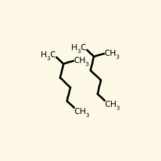 CCCCC(C)C.CCCCC(C)C